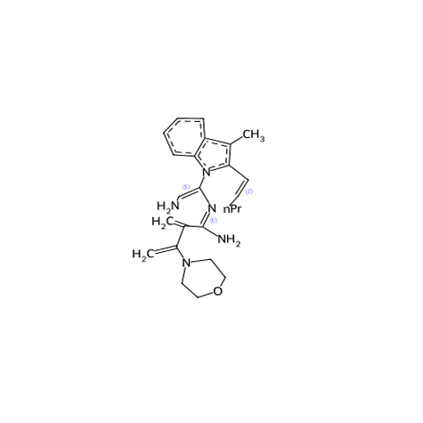 C=C(C(=C)N1CCOCC1)/C(N)=N\C(=C/N)n1c(/C=C\CCC)c(C)c2ccccc21